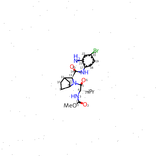 COC(=O)N[C@H](C(=O)N1C2CCC(C2)[C@H]1C(=O)Nc1ccc(Br)cc1N)C(C)C